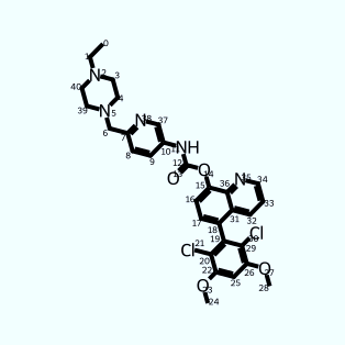 CCN1CCN(Cc2ccc(NC(=O)Oc3ccc(-c4c(Cl)c(OC)cc(OC)c4Cl)c4cccnc34)cn2)CC1